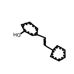 Oc1cccc(C=Cc2ccccc2)c1